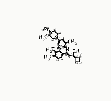 C\C=C(/C=C(C)\C(=N\C(=C/C(C)=C1CCC1)c1ccc(C)c(C)c1)C(C)CC)N1CCN(CCC)C(C)C1